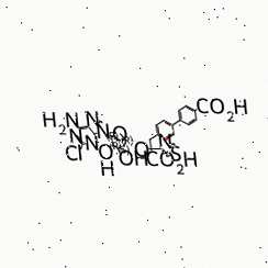 Nc1nc(Cl)nc2c1ncn2[C@@H]1O[C@H](COC(Cc2ccc(-c3ccc(C(=O)O)cc3)cc2)(C(=O)O)c2cscn2)[C@@H](O)[C@H]1O